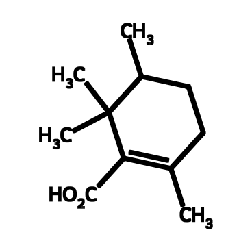 CC1=C(C(=O)O)C(C)(C)C(C)CC1